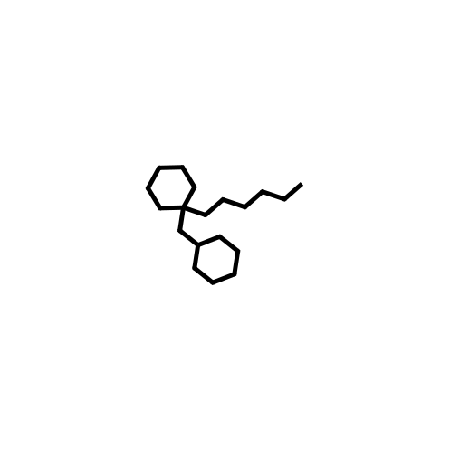 CCCCCCC1(CC2CCCCC2)CCCCC1